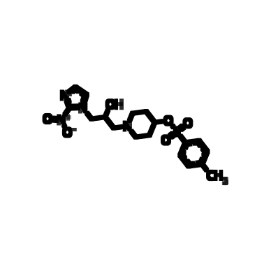 Cc1ccc(S(=O)(=O)OC2CCN(CC(O)Cn3ccnc3[N+](=O)[O-])CC2)cc1